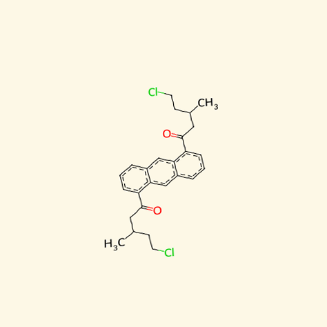 CC(CCCl)CC(=O)c1cccc2cc3c(C(=O)CC(C)CCCl)cccc3cc12